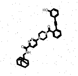 O=C(NCC12CC3CC(CC(C3)C1)C2)c1ccc(N2CCN(C(=O)c3ccccc3C#Cc3cccc(O)c3)CC2)nn1